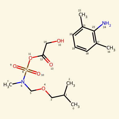 CC(C)COCN(C)S(=O)(=O)OC(=O)CO.Cc1cccc(C)c1N